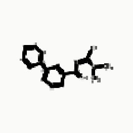 CN(C)/C(Cl)=N\C(=N)c1cccc(-c2ccccc2)c1